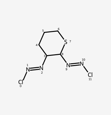 ClN=NC1CCCSC1N=NCl